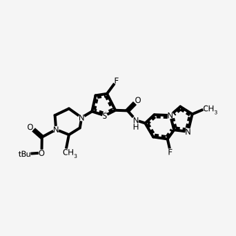 Cc1cn2cc(NC(=O)c3sc(N4CCN(C(=O)OC(C)(C)C)C(C)C4)cc3F)cc(F)c2n1